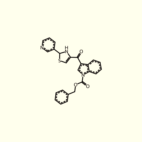 O=C(C1=CSC(c2cccnc2)N1)c1cn(C(=O)OCc2ccccc2)c2ccccc12